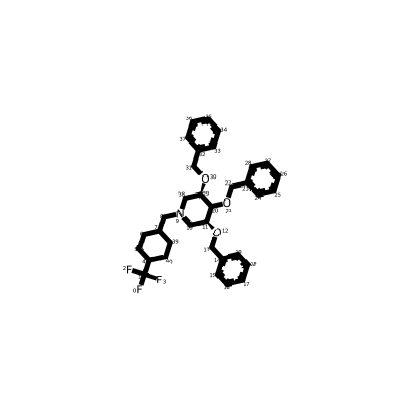 FC(F)(F)C1CCC(CN2C[C@H](OCc3ccccc3)C(OCc3ccccc3)[C@H](OCc3ccccc3)C2)CC1